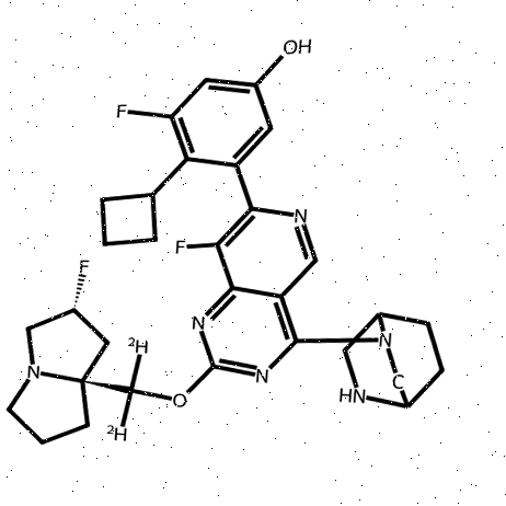 [2H]C([2H])(Oc1nc(N2CC3CCC2CN3)c2cnc(-c3cc(O)cc(F)c3C3CCC3)c(F)c2n1)[C@@]12CCCN1C[C@H](F)C2